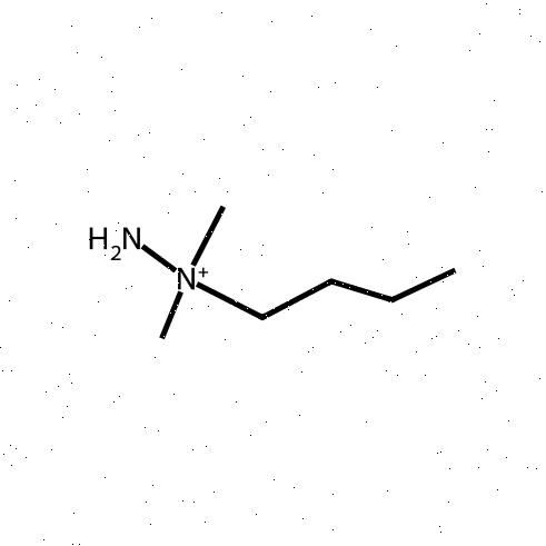 CCCC[N+](C)(C)N